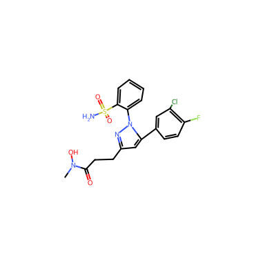 CN(O)C(=O)CCc1cc(-c2ccc(F)c(Cl)c2)n(-c2ccccc2S(N)(=O)=O)n1